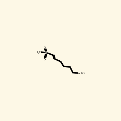 CCCCCCCCCC/C=C/S(C)(=O)=O